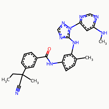 CCC(C)(C#N)c1cccc(C(=O)Nc2ccc(C)c(Nc3ncnn3-c3cc(NC)ncn3)c2)c1